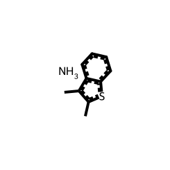 Cc1sc2ccccc2c1C.N